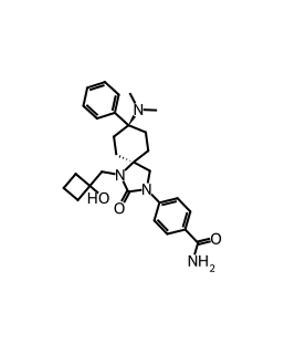 CN(C)[C@]1(c2ccccc2)CC[C@]2(CC1)CN(c1ccc(C(N)=O)cc1)C(=O)N2CC1(O)CCC1